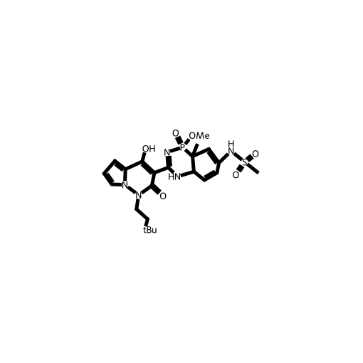 COP1(=O)N=C(c2c(O)c3cccn3n(CCC(C)(C)C)c2=O)NC2C=CC(NS(C)(=O)=O)=CC21C